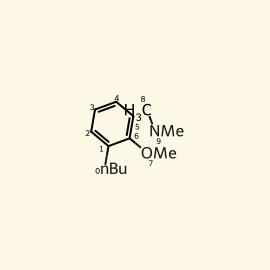 CCCCc1ccccc1OC.CNC